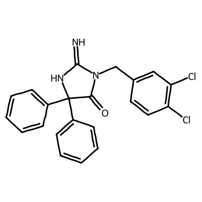 N=C1NC(c2ccccc2)(c2ccccc2)C(=O)N1Cc1ccc(Cl)c(Cl)c1